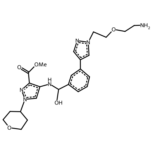 COC(=O)c1nn(C2CCOCC2)cc1NC(O)c1cccc(-c2cnn(CCOCCN)c2)c1